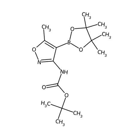 Cc1onc(NC(=O)OC(C)(C)C)c1B1OC(C)(C)C(C)(C)O1